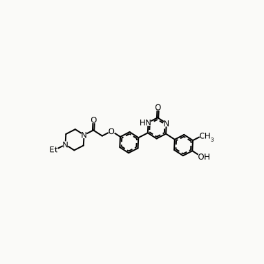 CCN1CCN(C(=O)COc2cccc(-c3cc(-c4ccc(O)c(C)c4)nc(=O)[nH]3)c2)CC1